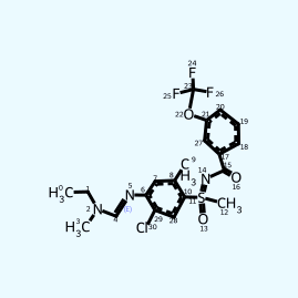 CCN(C)/C=N/c1cc(C)c(S(C)(=O)=NC(=O)c2cccc(OC(F)(F)F)c2)cc1Cl